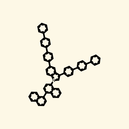 c1ccc(-c2ccc(-c3ccc(-c4ccc5c(c4)c(-c4ccc(-c6ccc(-c7ccccc7)cc6)cc4)cn5-c4ccc(-c5cccc6ccccc56)c5ccccc45)cc3)cc2)cc1